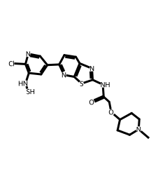 CN1CCC(OCC(=O)Nc2nc3ccc(-c4cnc(Cl)c(NS)c4)nc3s2)CC1